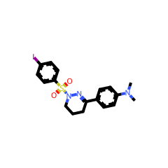 CN(C)c1ccc(C2=NN(S(=O)(=O)c3ccc(I)cc3)CCC2)cc1